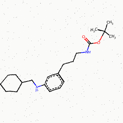 CC(C)(C)OC(=O)NCCCc1cccc(NCC2CCCCC2)c1